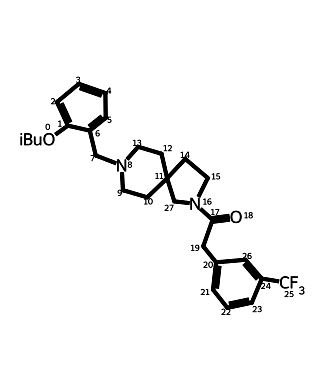 CC(C)COc1ccccc1CN1CCC2(CC1)CCN(C(=O)Cc1cccc(C(F)(F)F)c1)C2